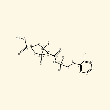 Cc1ncccc1OCC(C)(C)NC(=O)[C@H]1[C@@H]2CN(C(=O)OC(C)(C)C)C[C@@H]21